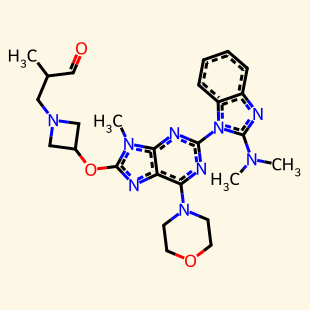 CC(C=O)CN1CC(Oc2nc3c(N4CCOCC4)nc(-n4c(N(C)C)nc5ccccc54)nc3n2C)C1